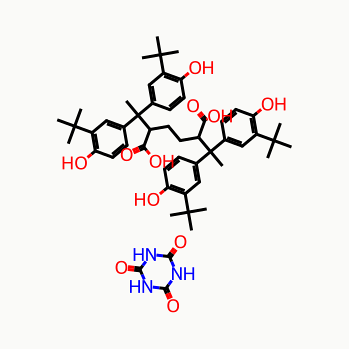 CC(C)(C)c1cc(C(C)(c2ccc(O)c(C(C)(C)C)c2)C(CCC(C(=O)O)C(C)(c2ccc(O)c(C(C)(C)C)c2)c2ccc(O)c(C(C)(C)C)c2)C(=O)O)ccc1O.O=c1[nH]c(=O)[nH]c(=O)[nH]1